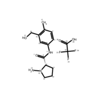 Cc1ccc(NC(=O)[C@@H]2CCCN2N)cc1CO.O=C(O)C(F)(F)F